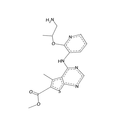 COC(=O)c1sc2ncnc(Nc3cccnc3OC(C)CN)c2c1C